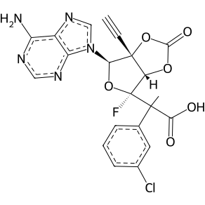 C#C[C@@]12OC(=O)O[C@@H]1[C@@](F)(C(C)(C(=O)O)c1cccc(Cl)c1)O[C@H]2n1cnc2c(N)ncnc21